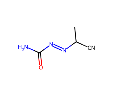 CC(C#N)N=NC(N)=O